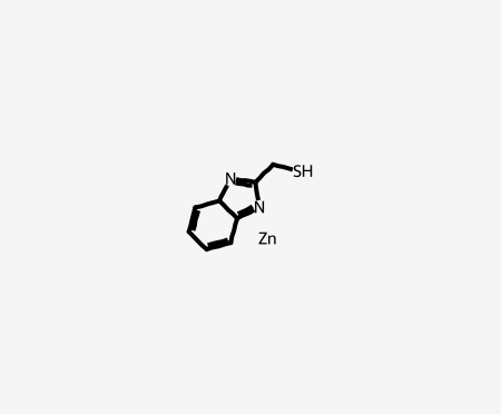 SCC1=NC2C=CC=CC2=N1.[Zn]